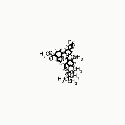 COC(=O)c1ccc([C@H]2CC3(CCN2Cc2c(OC)cc(C)c4c2ccn4C(=O)OC(C)(C)C)CC(F)(F)C3)c2[nH]ccc12